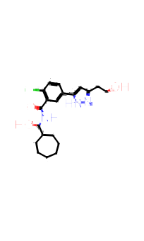 O=C(NC(O)C1CCCCCC1)c1cc(-c2cc(CCO)n[nH]2)ccc1Cl